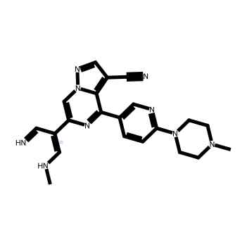 CN/C=C(\C=N)c1cn2ncc(C#N)c2c(-c2ccc(N3CCN(C)CC3)nc2)n1